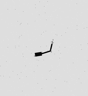 C#C[CH][S]